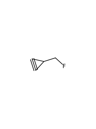 FCC1C#C1